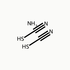 N.N#CS.N#CS